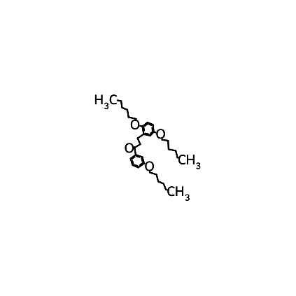 CCCCCCOc1cccc(C(=O)CCc2cc(OCCCCCC)ccc2OCCCCCC)c1